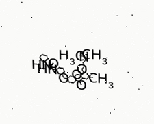 Cc1cc(OCCCN(C)C)c2oc3cc(Oc4cccc(NC(=O)Nc5ccccc5)c4)ccc3c(=O)c2c1